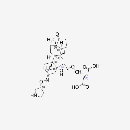 CO/N=C1\C[C@H]2[C@@H]3CCC(=O)[C@@]3(C)CC[C@@H]2[C@@]2(C)CCC(=NO[C@@H]3CCNC3)C[C@]12O.O=C(O)/C=C/C(=O)O